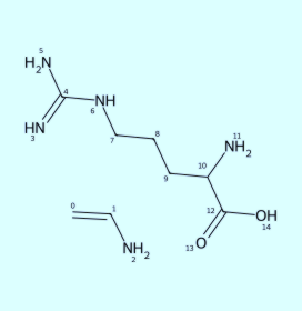 C=CN.N=C(N)NCCCC(N)C(=O)O